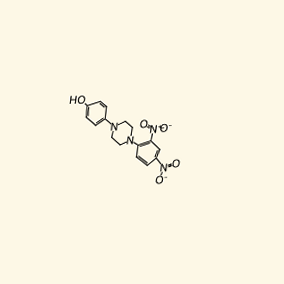 O=[N+]([O-])c1ccc(N2CCN(c3ccc(O)cc3)CC2)c([N+](=O)[O-])c1